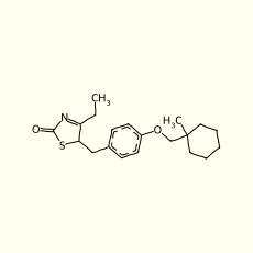 CCC1=NC(=O)SC1Cc1ccc(OCC2(C)CCCCC2)cc1